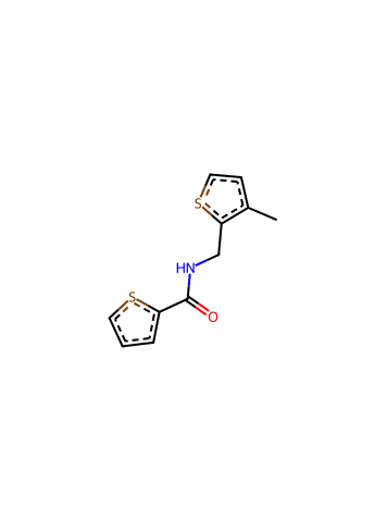 Cc1ccsc1CNC(=O)c1cccs1